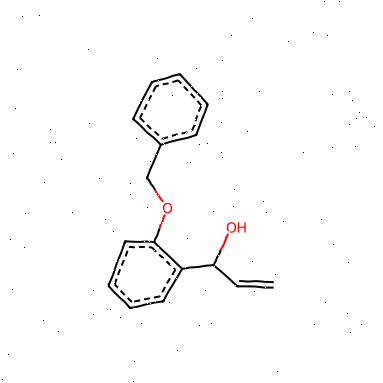 C=CC(O)c1ccccc1OCc1ccccc1